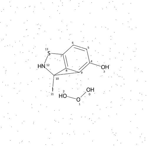 OOO.Oc1ccc2c3c1C3(I)NS2